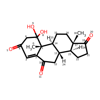 C[C@@]12C(=CC(=O)CC1(O)O)C(=O)C[C@@H]1[C@@H]2CC[C@]2(C)C(=O)CC[C@@H]12